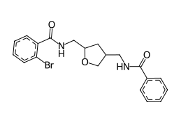 O=C(NCC1COC(CNC(=O)c2ccccc2Br)C1)c1ccccc1